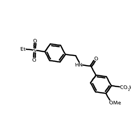 CCS(=O)(=O)c1ccc(CNC(=O)c2ccc(OC)c(C(=O)O)c2)cc1